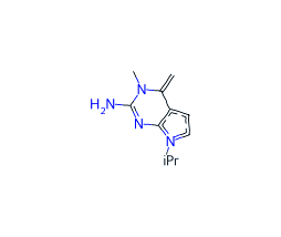 C=C1c2ccn(C(C)C)c2N=C(N)N1C